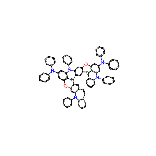 C1=Cc2cc3c(cc2N(c2ccccc2)c2ccccc21)Oc1cc(N(c2ccccc2)c2ccccc2)cc2c1B3c1cc3c(cc1N2c1ccccc1)Oc1cc(N(c2ccccc2)c2ccccc2)cc2c1B3c1ccccc1N2c1ccccc1